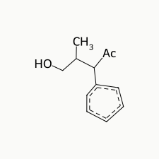 CC(=O)C(c1ccccc1)C(C)CO